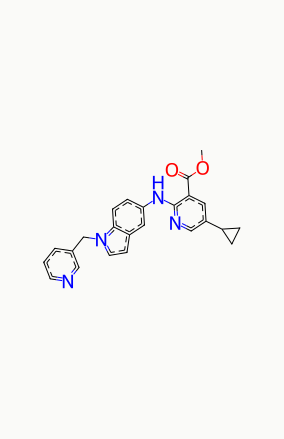 COC(=O)c1cc(C2CC2)cnc1Nc1ccc2c(ccn2Cc2cccnc2)c1